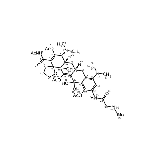 CC(=O)NC(=O)C1=C(OC(C)=O)[C@@H](N(C)C)[C@@H]2C[C@@H]3Cc4c(N(C)C)cc(NC(=O)CNC(C)(C)C)c(OC(C)=O)c4C(O)(O)C3=C(OC(C)=O)[C@]2(O)C12OCCO2